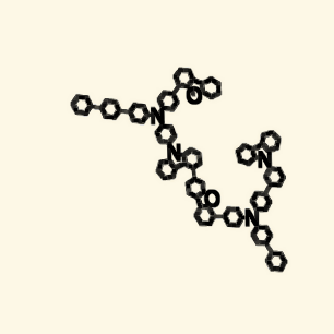 c1ccc(-c2ccc(-c3ccc(N(c4ccc(-c5cccc6c5oc5ccccc56)cc4)c4ccc(-n5c6ccccc6c6c(-c7ccc8c(c7)oc7c(-c9ccc(N(c%10ccc(-c%11ccccc%11)cc%10)c%10ccc(-c%11cccc(-n%12c%13ccccc%13c%13ccccc%13%12)c%11)cc%10)cc9)cccc78)cccc65)cc4)cc3)cc2)cc1